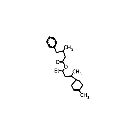 CCC(CC(C)C1CC=C(C)CC1)OC(=O)CC(C)Cc1ccccc1